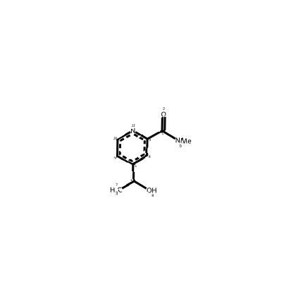 CNC(=O)c1cc(C(C)O)ccn1